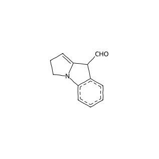 O=CC1C2=CCCN2c2ccccc21